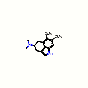 COc1cc2[nH]cc3c2c(c1OC)CC(N(C)C)C3